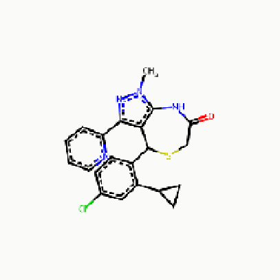 Cn1nc(-c2ccccn2)c2c1NC(=O)CSC2c1ccc(Cl)cc1C1CC1